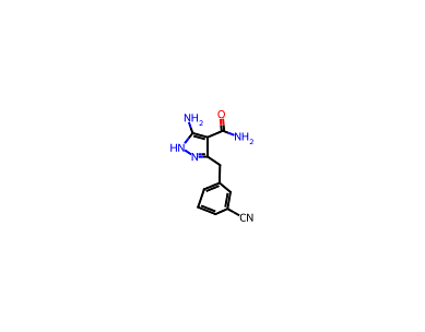 N#Cc1cccc(Cc2n[nH]c(N)c2C(N)=O)c1